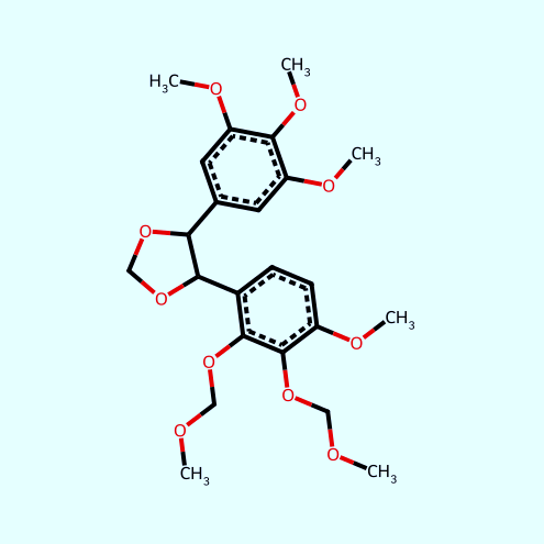 COCOc1c(OC)ccc(C2OCOC2c2cc(OC)c(OC)c(OC)c2)c1OCOC